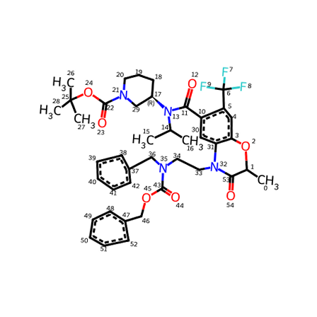 CC1Oc2cc(C(F)(F)F)c(C(=O)N(C(C)C)[C@@H]3CCCN(C(=O)OC(C)(C)C)C3)cc2N(CCN(Cc2ccccc2)C(=O)OCc2ccccc2)C1=O